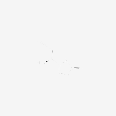 C#CC[C@H](N)C1=NOS(=O)N1